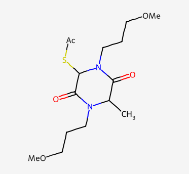 COCCCN1C(=O)C(SC(C)=O)N(CCCOC)C(=O)C1C